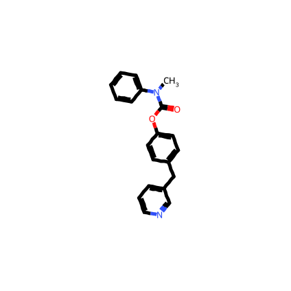 CN(C(=O)Oc1ccc(Cc2cccnc2)cc1)c1ccccc1